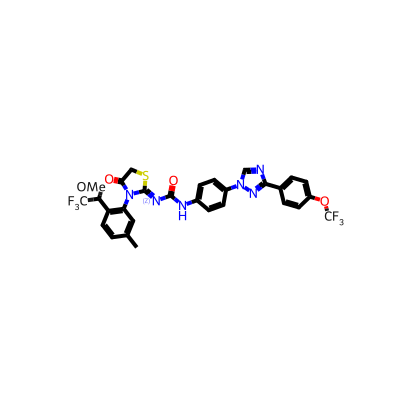 COC(c1ccc(C)cc1N1C(=O)CS/C1=N\C(=O)Nc1ccc(-n2cnc(-c3ccc(OC(F)(F)F)cc3)n2)cc1)C(F)(F)F